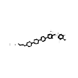 C/C=C/CCC1CCC(C2CCC(c3ccc(-c4cc(F)c(C(F)(F)Oc5cc(F)c(C(F)F)c(F)c5)c(F)c4)c(F)c3)CC2)CC1